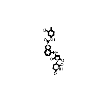 Cc1ccc(NC(=O)N2Cc3cccc(NC4=CC(=O)N(C5CCC(=O)NC5=O)C4=O)c3C2)cc1Cl